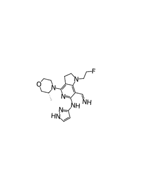 C[C@@H]1COCCN1c1nc(Nc2cc[nH]n2)c(C=N)c2c1CCN2CCF